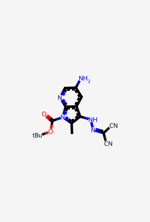 Cc1c(NN=C(C#N)C#N)c2cc(N)cnc2n1C(=O)OC(C)(C)C